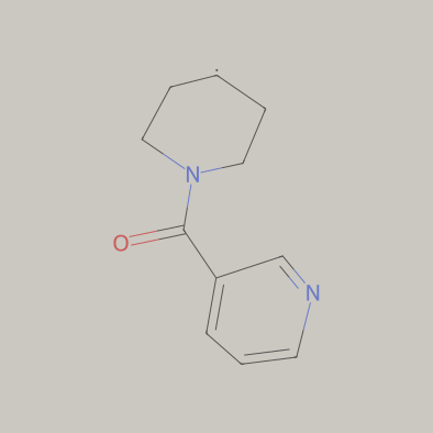 O=C(c1cccnc1)N1CC[CH]CC1